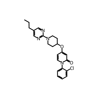 CCCc1cnc(N2CCC(Oc3ccn(-c4ccccc4Cl)c(=O)c3)CC2)nc1